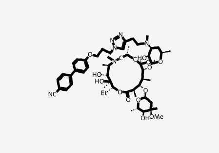 CC[C@H]1OC(=O)[C@H](C)[C@@H](O[C@H]2C[C@@](C)(OC)[C@@H](O)[C@H](C)O2)[C@H](C)[C@@H](O[C@@H]2O[C@H](C)C[C@H](N(C)CCc3cn(CCCOc4ccc(-c5ccc(C#N)cc5)cc4)nn3)[C@H]2O)[C@](C)(O)C[C@@H](C)CN(C)[C@H](C)[C@@H](O)[C@]1(C)O